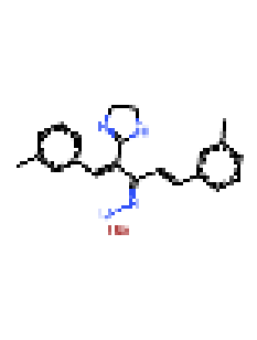 Br.Cc1cccc(C=CC(=NN)C(=Cc2cccc(C)c2)C2=NCCN2)c1